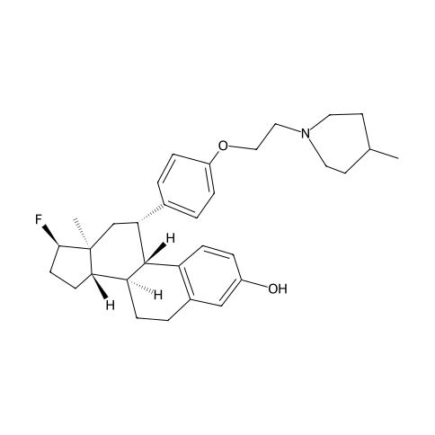 CC1CCN(CCOc2ccc([C@H]3C[C@]4(C)[C@H](F)CC[C@H]4[C@@H]4CCc5cc(O)ccc5[C@H]43)cc2)CC1